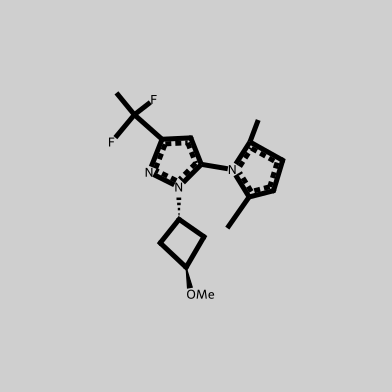 CO[C@H]1C[C@H](n2nc(C(C)(F)F)cc2-n2c(C)ccc2C)C1